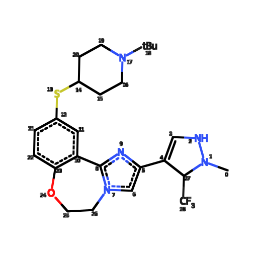 CN1NC=C(c2cn3c(n2)-c2cc(SC4CCN(C(C)(C)C)CC4)ccc2OCC3)C1C(F)(F)F